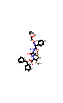 CCSC1=C(C(=O)OC(c2ccccc2)c2ccccc2)N2C(=O)C(NC(=O)C(=NOCC(=O)OC(C)(C)C)c3ccccc3)[C@@H]2SC1